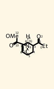 CCC(=O)C1CC2C=C[C@@H]1N(C(=O)OC)C2